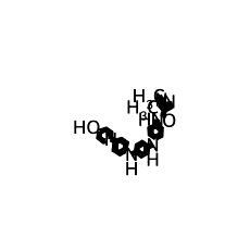 Cc1c(C(=O)Nc2ccc(Nc3ccc(Nc4ccc(N5CCC(O)CC5)cc4)cc3)cc2)cnn1C